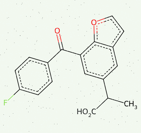 CC(C(=O)O)c1cc(C(=O)c2ccc(F)cc2)c2occc2c1